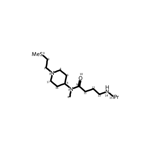 CSCCN1CCC(N(C)C(=O)CCCNC(C)C)CC1